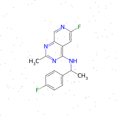 Cc1nc(NC(C)c2ccc(F)cc2)c2cc(F)ncc2n1